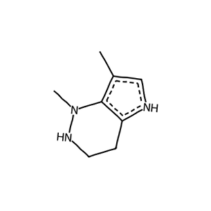 Cc1c[nH]c2c1N(C)NCC2